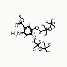 COC(=O)c1cc(OCC(C)(C)OC(C)(C)C)c(OCC(C)(C)OC(C)(C)C)cc1N